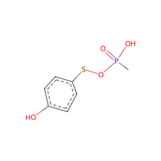 CP(=O)(O)OSc1ccc(O)cc1